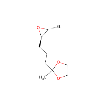 CC[C@H]1O[C@@H]1CCCC1(C)OCCO1